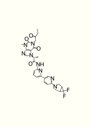 CCC(=O)Cn1c(=O)c2c(ncn2[C@@H](C)C(=O)Nc2cccc(-c3ccc(N4CC5C(C4)C5(F)F)nc3)n2)n(C)c1=O